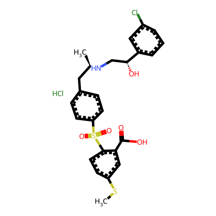 CSc1ccc(S(=O)(=O)c2ccc(C[C@@H](C)NC[C@@H](O)c3cccc(Cl)c3)cc2)c(C(=O)O)c1.Cl